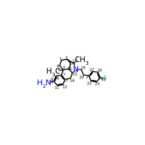 CC1C2CCC3(C)c4cc(N)ccc4CC(C3C2)N1CCc1ccc(F)cc1